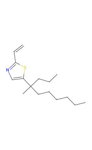 C=Cc1ncc(C(C)(CCC)CCCCCC)s1